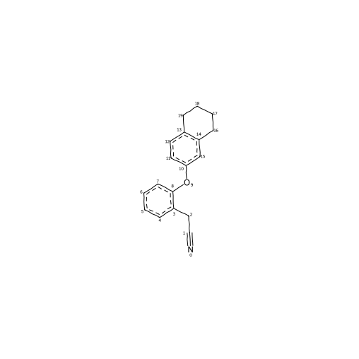 N#CCc1ccccc1Oc1ccc2c(c1)CCCC2